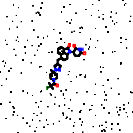 CC(C)(F)C(=O)N1CCC(C)(n2cc(Cc3ccc4c5c(cccc35)C(=O)N4C3CCC(=O)NC3=O)cn2)CC1